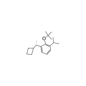 CC(C)c1cccc([C@@H](C)C2CCC2)c1OC(C)(C)C